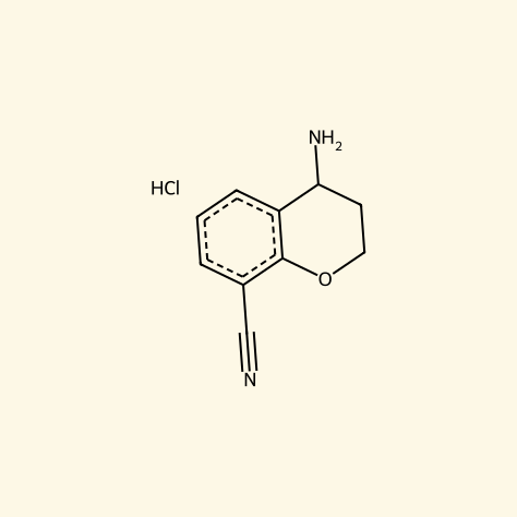 Cl.N#Cc1cccc2c1OCCC2N